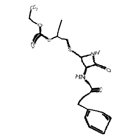 CC(CSC1NC(=O)C1NC(=O)Cc1ccccc1)OC(=O)OCC(Cl)(Cl)Cl